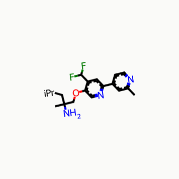 Cc1cc(-c2cc(C(F)F)c(OCC(C)(N)CC(C)C)cn2)ccn1